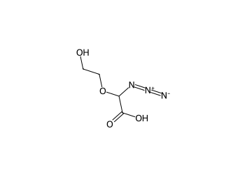 [N-]=[N+]=NC(OCCO)C(=O)O